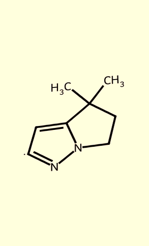 CC1(C)CCn2n[c]cc21